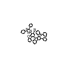 N#Cc1cc(-n2c3ccccc3c3cc(-c4ccccc4)c4c(c5ccccc5n4-c4ccccc4)c32)c2c(oc3ccccc32)c1-c1nc(-c2ccccc2)nc(-c2ccccc2)n1